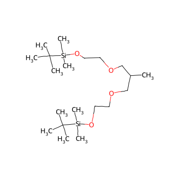 CC(COCCO[Si](C)(C)C(C)(C)C)COCCO[Si](C)(C)C(C)(C)C